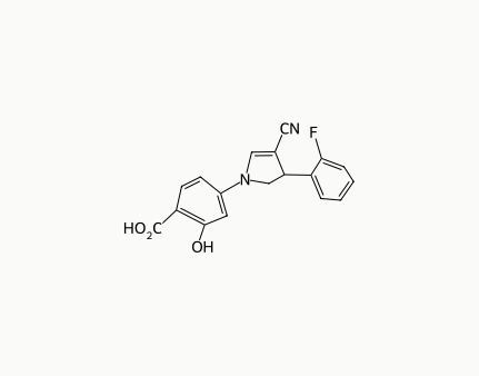 N#CC1=CN(c2ccc(C(=O)O)c(O)c2)CC1c1ccccc1F